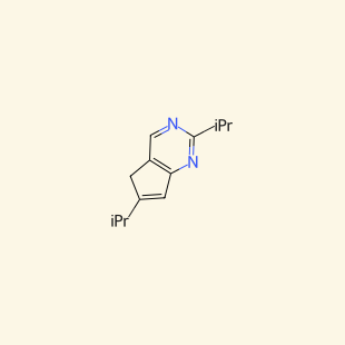 CC(C)C1=Cc2nc(C(C)C)ncc2C1